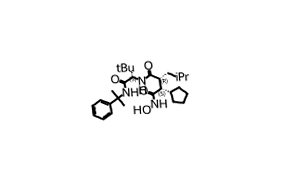 CC(C)C[C@@H](C(=O)N[C@H](C(=O)NC(C)(C)c1ccccc1)C(C)(C)C)[C@@H](C(=O)NO)C1CCCC1